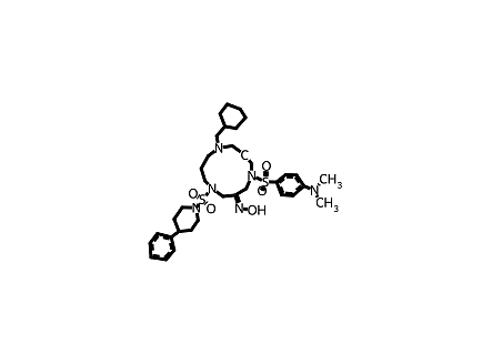 CN(C)c1ccc(S(=O)(=O)N2CCCN(CC3CCCCC3)CCCN(S(=O)(=O)N3CCC(c4ccccc4)CC3)C/C(=N/O)C2)cc1